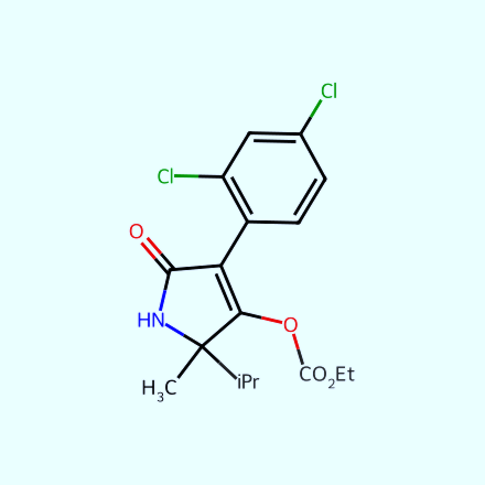 CCOC(=O)OC1=C(c2ccc(Cl)cc2Cl)C(=O)NC1(C)C(C)C